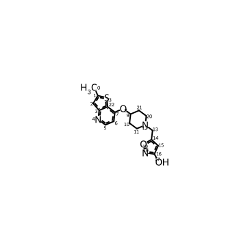 Cc1cc2nccc(OC3CCN(Cc4cc(O)no4)CC3)c2s1